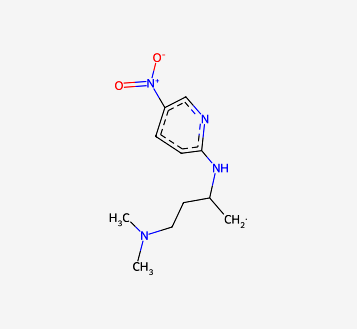 [CH2]C(CCN(C)C)Nc1ccc([N+](=O)[O-])cn1